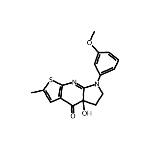 COc1cccc(N2CCC3(O)C(=O)c4cc(C)sc4N=C23)c1